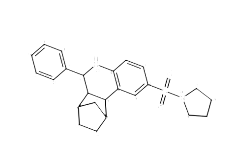 O=S(=O)(c1ccc2c(c1)C1C3CCC(C3)C1C(c1ccccc1)N2)N1CCCC1